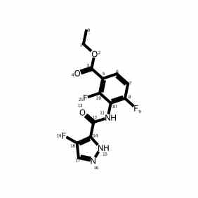 CCOC(=O)c1ccc(F)c(NC(=O)c2[nH]ncc2F)c1F